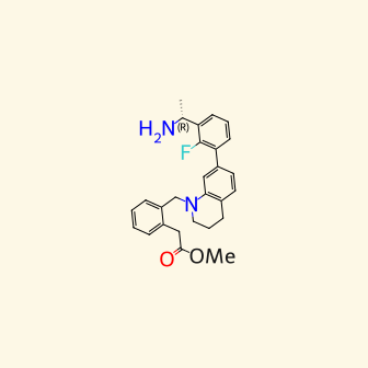 COC(=O)Cc1ccccc1CN1CCCc2ccc(-c3cccc([C@@H](C)N)c3F)cc21